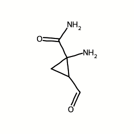 NC(=O)C1(N)CC1C=O